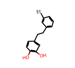 CCc1cccc(CCc2ccc(O)c(O)c2)c1